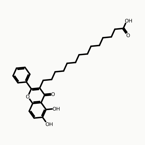 O=C(O)CCCCCCCCCCCCCc1c(-c2ccccc2)oc2ccc(O)c(O)c2c1=O